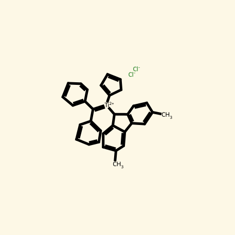 Cc1ccc2c(c1)-c1cc(C)ccc1[CH]2[Ti+2]([C]1=CC=CC1)=[C](c1ccccc1)c1ccccc1.[Cl-].[Cl-]